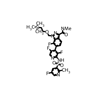 CNC(=O)c1nn(COCC[Si](C)(C)C)c2c(F)c(-c3c(F)cnc(NS(=O)(=O)c4cc(F)cnc4C)c3F)ccc12